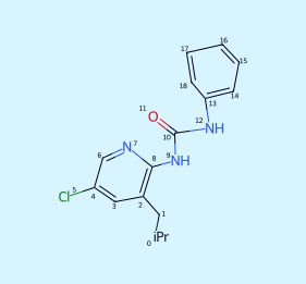 CC(C)Cc1cc(Cl)cnc1NC(=O)Nc1ccccc1